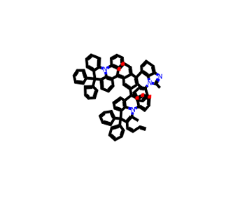 C=C/C=C\C1=C(C)N(c2ccccc2)c2c(/C(=C/C=C)c3cc4c(-c5cccc6c5N(c5ccccc5)c5ccccc5C6(c5ccccc5)c5ccccc5)cccc4c(-c4cccc5nc(C)n(-c6ccccc6)c45)c3C)cccc2C1(c1ccccc1)c1ccccc1